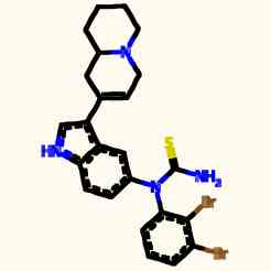 NC(=S)N(c1ccc2[nH]cc(C3=CCN4CCCCC4C3)c2c1)c1cccc(Br)c1Br